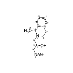 CNC[C@H](O)CN1CCc2ccccc2C1C